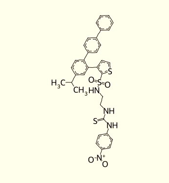 CC(C)c1ccc(-c2ccc(-c3ccccc3)cc2)c(-c2ccsc2S(=O)(=O)NCCNC(=S)Nc2ccc([N+](=O)[O-])cc2)c1